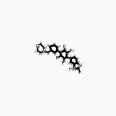 Cc1nc2ccc(-c3c(F)c(F)c(-c4cccc(CN5CCOCC5)c4)c(F)c3F)cc2[nH]1